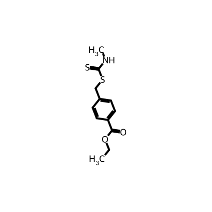 CCOC(=O)c1ccc(CSC(=S)NC)cc1